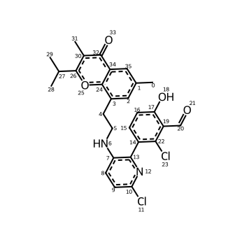 Cc1cc(CCNc2ccc(Cl)nc2-c2ccc(O)c(C=O)c2Cl)c2oc(C(C)C)c(C)c(=O)c2c1